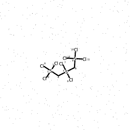 ClS(Cl)(Cl)CS(Cl)(Cl)CS(Cl)(Cl)Cl